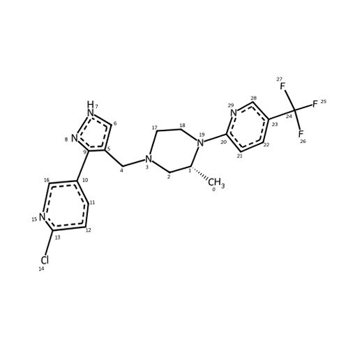 C[C@@H]1CN(Cc2c[nH]nc2-c2ccc(Cl)nc2)CCN1c1ccc(C(F)(F)F)cn1